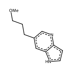 COCCCc1cnc2cc[nH]c2c1